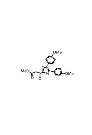 COC(=O)C[S+]([O-])c1nc(-c2ccc(OC)cc2)n(-c2ccc(OC)cc2)n1